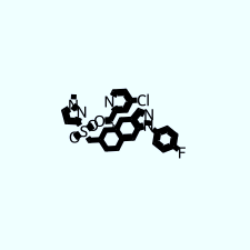 Cn1ccc(S(=O)(=O)CC2CCC3=Cc4c(cnn4-c4ccc(F)cc4)C[C@]3(C(=O)c3cc(Cl)ccn3)C2)n1